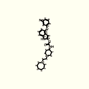 O=C(NC1CCN(CCN2CCCCCC2)CC1)Oc1cc2c(Oc3cccc(F)c3)cccc2[nH]1